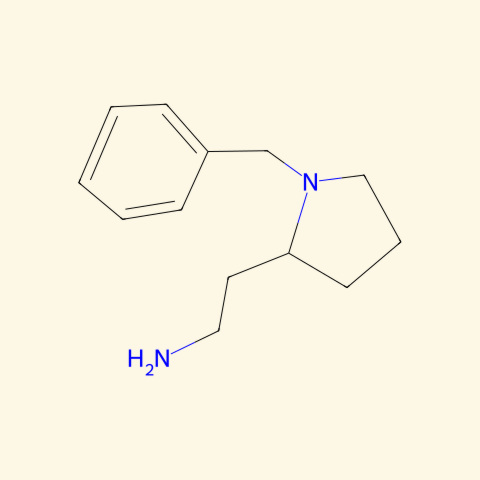 NCCC1CCCN1Cc1ccccc1